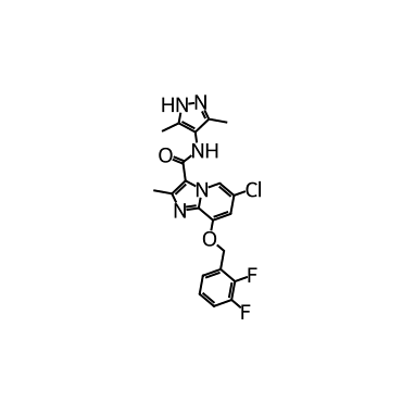 Cc1n[nH]c(C)c1NC(=O)c1c(C)nc2c(OCc3cccc(F)c3F)cc(Cl)cn12